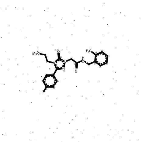 COCCn1c(-c2ccc(Cl)cc2)nn(CC(=O)NCc2ccccc2C(F)(F)F)c1=O